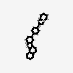 c1ccc2c(c1)ccc1c3cc(-c4ccc(-c5cn6ccccc6n5)cc4)ccc3oc21